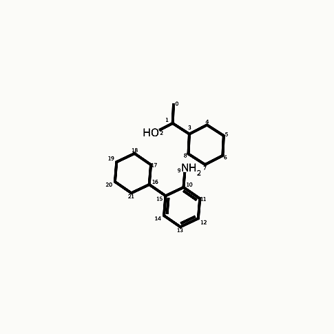 CC(O)C1CCCCC1.Nc1ccccc1C1CCCCC1